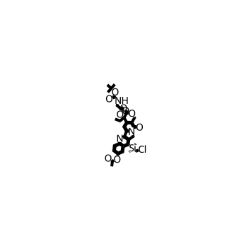 CCC1(OC(=O)CNC(=O)OC(C)(C)C)C(=O)OCc2c1cc1n(c2=O)Cc2c-1nc1ccc(OC(C)=O)cc1c2[Si](C)(C)CCl